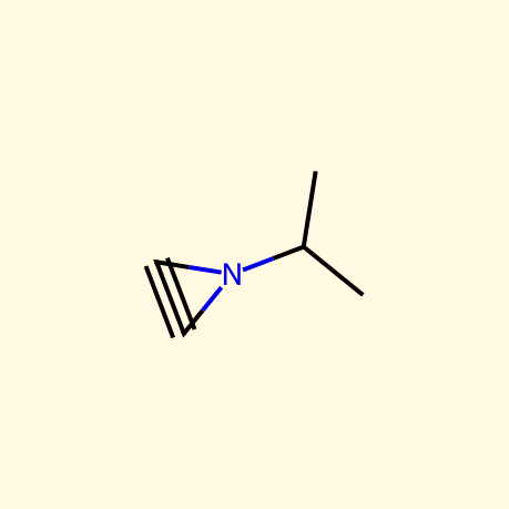 CC(C)N1C#C1